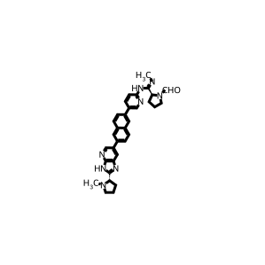 C/N=C(\Nc1ccc(-c2ccc3cc(-c4cnc5[nH]c([C@@H]6CCCN6C)nc5c4)ccc3c2)cn1)[C@@H]1CCCN1C=O